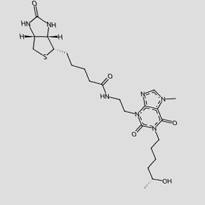 C[C@@H](O)CCCCn1c(=O)c2c(ncn2C)n(CCNC(=O)CCCC[C@@H]2SC[C@@H]3NC(=O)N[C@@H]32)c1=O